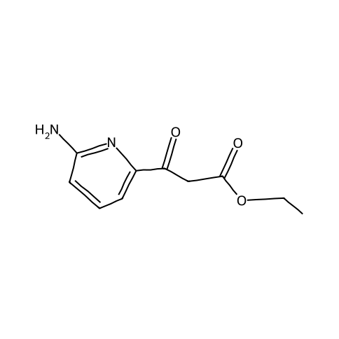 CCOC(=O)CC(=O)c1cccc(N)n1